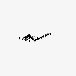 CCCCCCCCCCCCCC/C=C\OCC(O)COP(=O)(O)OCCN(C)C